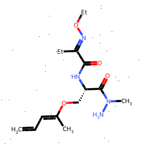 C=C/C=C(\C)OC[C@H](NC(=O)/C(CC)=N/OCC)C(=O)N(C)N